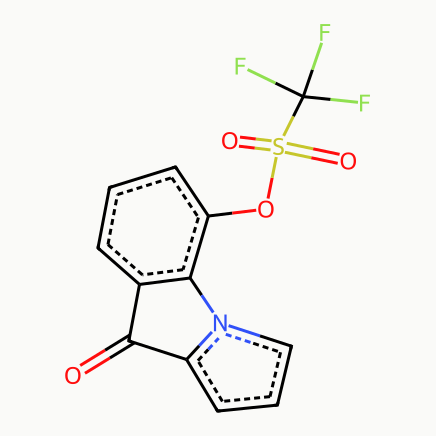 O=C1c2cccc(OS(=O)(=O)C(F)(F)F)c2-n2cccc21